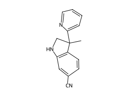 CC1(c2ccccn2)CNc2cc(C#N)ccc21